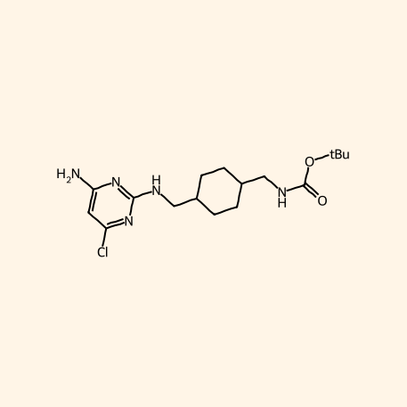 CC(C)(C)OC(=O)NCC1CCC(CNc2nc(N)cc(Cl)n2)CC1